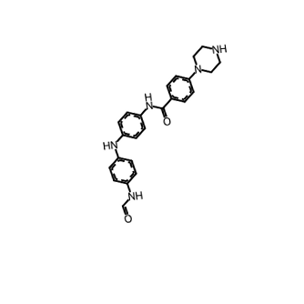 O=CNc1ccc(Nc2ccc(NC(=O)c3ccc(N4CCNCC4)cc3)cc2)cc1